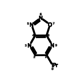 CC(C)c1cnc2nnoc2n1